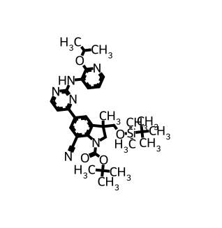 CC(C)Oc1ncccc1Nc1nccc(-c2cc(C#N)c3c(c2)C(C)(CO[Si](C)(C)C(C)(C)C)CN3C(=O)OC(C)(C)C)n1